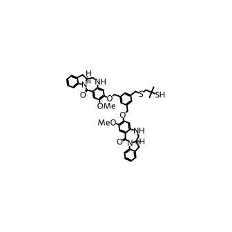 COc1cc2c(cc1OCc1cc(COc3cc4c(cc3OC)C(=O)N3c5ccccc5C[C@H]3CN4)cc(CSCC(C)(C)S)c1)NC[C@@H]1Cc3ccccc3N1C2=O